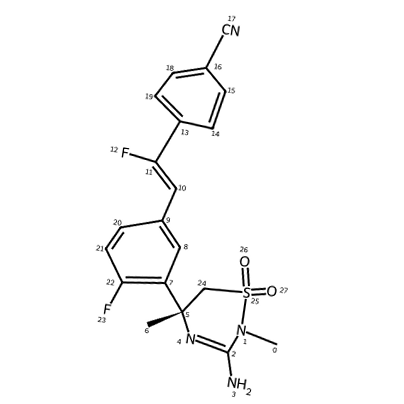 CN1C(N)=N[C@](C)(c2cc(/C=C(\F)c3ccc(C#N)cc3)ccc2F)CS1(=O)=O